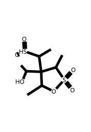 CC(O)C1(C(C)[SH](=O)=O)C(C)OS(=O)(=O)C1C